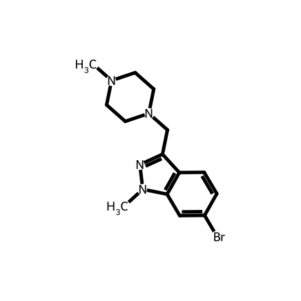 CN1CCN(Cc2nn(C)c3cc(Br)ccc23)CC1